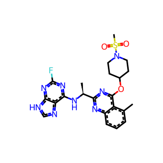 Cc1cccc2nc([C@H](C)Nc3nc(F)nc4[nH]cnc34)nc(OC3CCN(S(C)(=O)=O)CC3)c12